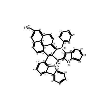 CC(C)(C)c1cc2ccc3c4c5c(c6ccc(c1)c2c36)N(c1ccccc1)c1c(oc2ccccc12)B5n1c2ccccc2c2cccc-4c21